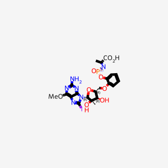 COc1nc(N)nc2c1nc(I)n2[C@@H]1O[C@H](COc2ccccc2O/[P+]([O-])=N/C(C)C(=O)O)[C@@H](O)[C@@]1(C)O